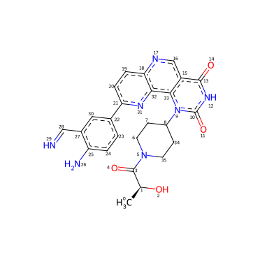 C[C@H](O)C(=O)N1CCC(n2c(=O)[nH]c(=O)c3cnc4ccc(-c5ccc(N)c(C=N)c5)nc4c32)CC1